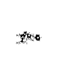 CC(C)c1nc(N)c2ncn([C@@H]3O[C@H](COc4ccccc4)[C@@H](O)[C@H]3O)c2n1